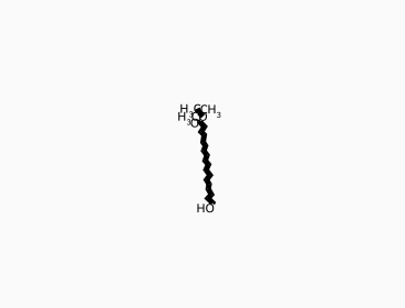 CC(C)(C)OC(=O)CCCCCCCCCCCCCCCCCO